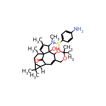 CC1=CC23C(=O)C(C=C4COC(C)(C)OC4C2(O)C1N(C)Sc1ccc(N)cc1)[C@H]1C(C[C@H]3C)C1(C)C